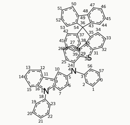 c1ccc(N(c2ccc3c(c2)c2ccccc2n3-c2ccccc2)c2cccc3c2sc2cccc(C4(c5ccccc5)c5ccccc5-c5ccccc54)c23)cc1